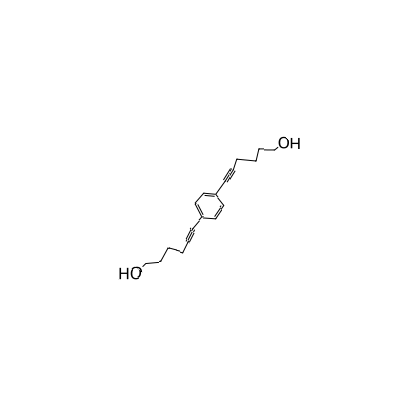 OCCCCC#Cc1ccc(C#CCCCCO)cc1